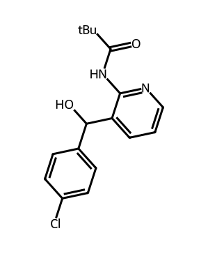 CC(C)(C)C(=O)Nc1ncccc1C(O)c1ccc(Cl)cc1